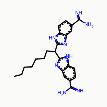 CCCCCCCC(c1nc2cc(C(=N)N)ccc2[nH]1)c1nc2cc(C(=N)N)ccc2[nH]1